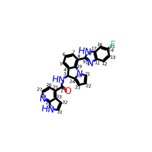 O=C(NC1c2cccc(-c3nc4ccc(F)cc4[nH]3)c2-n2cccc21)c1ccnc2[nH]ccc12